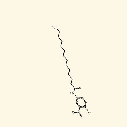 CCCCCCCCCCCCCC(=O)Nc1ccc(Cl)c([N+](=O)[O-])c1